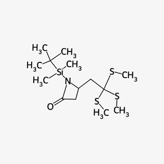 CSC(CC1CC(=O)N1[Si](C)(C)C(C)(C)C)(SC)SC